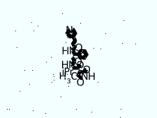 CC(C)[C@H](NC(=O)C[C@H](NC(=O)/C=C/c1ccncc1)c1ccccc1)C(=O)[C@@H]1C(=O)NC(=O)[C@H]1C